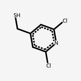 SCc1cc(Cl)nc(Cl)c1